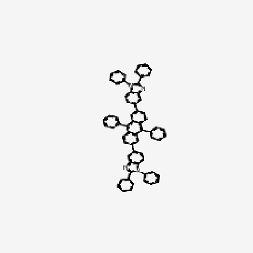 c1ccc(-c2c3ccc(-c4ccc5c(c4)nc(-c4ccccc4)n5-c4ccccc4)cc3c(-c3ccccc3)c3ccc(-c4ccc5c(c4)nc(-c4ccccc4)n5-c4ccccc4)cc23)cc1